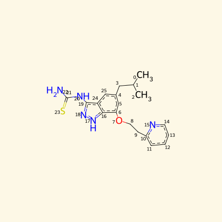 CC(C)Cc1cc(OCCc2ccccn2)c2[nH]nc(NC(N)=S)c2c1